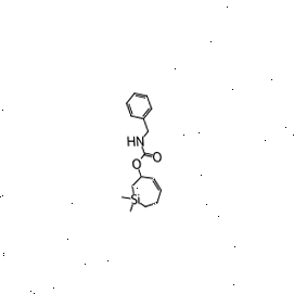 C[Si]1(C)CCC=CC(OC(=O)NCc2ccccc2)C1